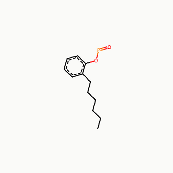 CCCCCCc1ccccc1OP=O